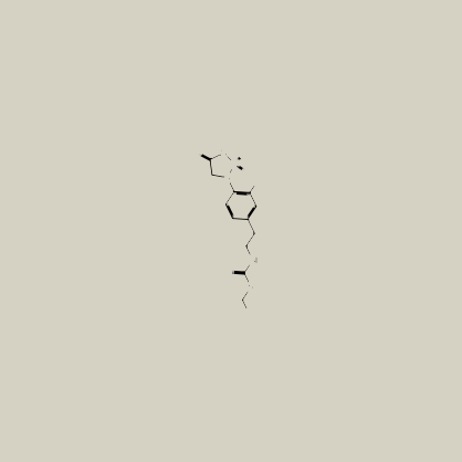 CCNC(=O)NCCc1ccc(N2CC(=O)NS2(=O)=O)c(O)c1